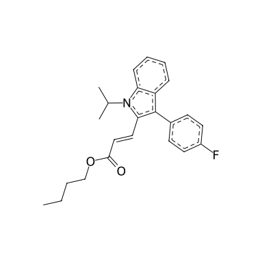 CCCCOC(=O)C=Cc1c(-c2ccc(F)cc2)c2ccccc2n1C(C)C